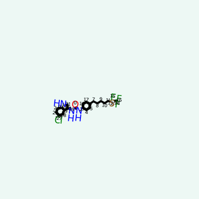 O=C(Nc1ccc(CCCCCSC(F)(F)F)cc1)Nc1c[nH]c2ccc(Cl)cc12